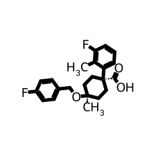 Cc1c(F)cccc1[C@]1(C(=O)O)CC[C@](C)(OCc2ccc(F)cc2)CC1